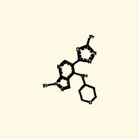 CCn1ncc2c(NC3CCOCC3)c(-c3nnc(C(C)C)o3)cnc21